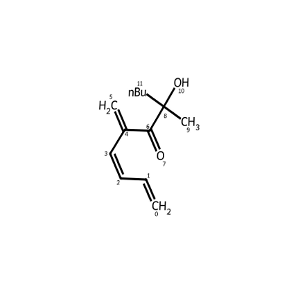 C=C/C=C\C(=C)C(=O)C(C)(O)CCCC